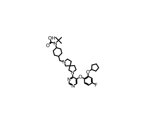 CC(C)(C)N(C(=O)O)C1CCC(CN2CCC3(CCN(c4ncncc4Oc4ccc(F)cc4OC4CCCC4)C3)C2)CC1